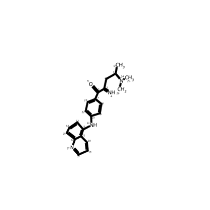 CC(CC(=N)C(=O)c1ccc(Nc2cccc3ncccc23)cc1)N(C)C